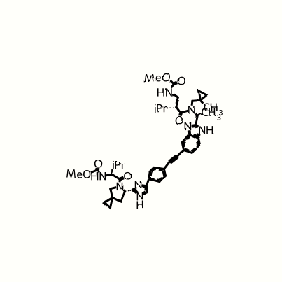 COC(=O)NC[C@H](C(=O)N(CC1(C)CC1)[C@@H](C)c1nc2cc(C#Cc3ccc(-c4c[nH]c([C@@H]5CC6(CC6)CN5C(=O)[C@@H](NC(=O)OC)C(C)C)n4)cc3)ccc2[nH]1)C(C)C